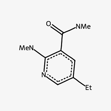 CCc1cnc(NC)c(C(=O)NC)c1